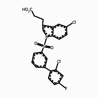 O=C(O)CCc1cn(S(=O)(=O)c2cccc(-c3ccc(F)cc3Cl)c2)c2ccc(Cl)cc12